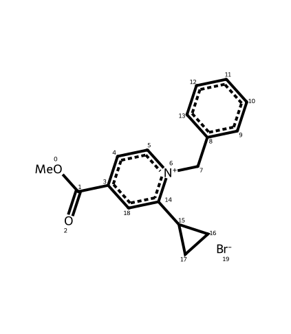 COC(=O)c1cc[n+](Cc2ccccc2)c(C2CC2)c1.[Br-]